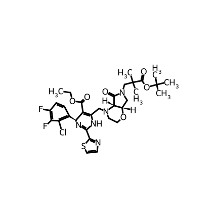 CCOC(=O)C1=C(CN2CCO[C@H]3CN(CC(C)(C)C(=O)OC(C)(C)C)C(=O)[C@H]32)NC(c2nccs2)=N[C@H]1c1ccc(F)c(F)c1Cl